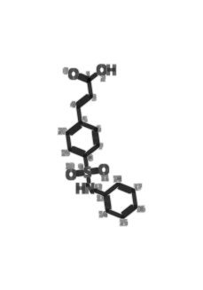 O=C(O)/C=C/c1ccc(S(=O)(=O)Nc2ccccc2)cc1